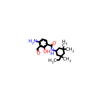 CCC1(C)CC(NC(=O)c2ccc(N)c(C=O)c2O)CC(C)(C)C1